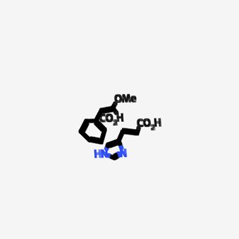 COC(=Cc1ccccc1)C(=O)O.O=C(O)C=Cc1c[nH]cn1